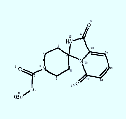 CC(C)(C)OC(=O)N1CCC2(CC1)NC(=O)c1cccc(=O)n12